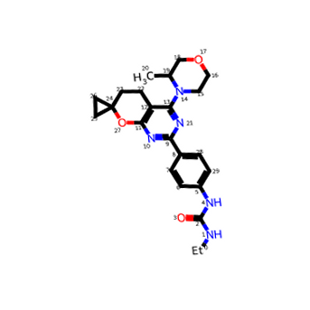 CCNC(=O)Nc1ccc(-c2nc3c(c(N4CCOCC4C)n2)CCC2(CC2)O3)cc1